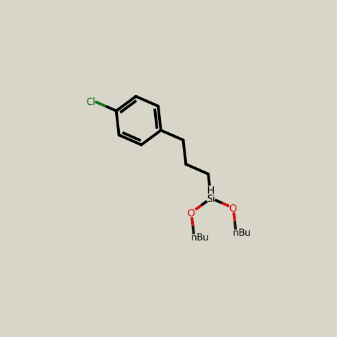 CCCCO[SiH](CCCc1ccc(Cl)cc1)OCCCC